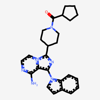 Nc1nccn2c(C3CCN(C(=O)C4CCCC4)CC3)nc(-n3ccc4ccccc43)c12